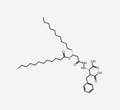 CCCCCCCCCCCC(=O)O[C@H](CCCCCCCCCCC)CC(=O)NN[C@H](C(=O)O)C(Cc1ccccc1)C(=O)O